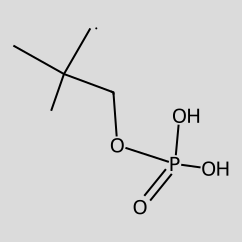 [CH2]C(C)(C)COP(=O)(O)O